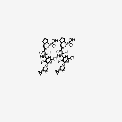 C[C@H]1CN(c2nc(Cl)nc(NNC(=O)[C@@H](CNC(=O)O)CC3CCCC3)c2F)C[C@@H]1N(C)C.C[C@H]1CN(c2nc(Cl)nc(NNC(=O)[C@@H](CNC(=O)O)CC3CCCC3)c2F)C[C@@H]1N(C)C